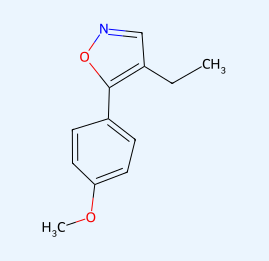 CCc1cnoc1-c1ccc(OC)cc1